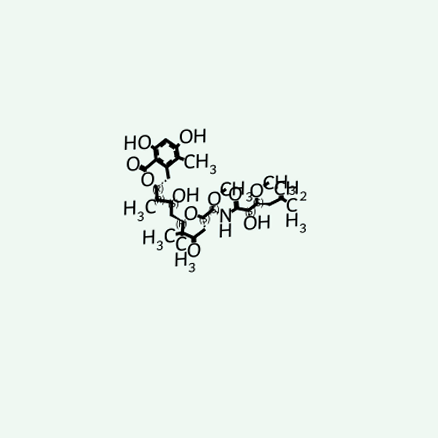 C=C(C)C[C@H](OC)[C@H](O)C(=O)N[C@@H](OC)[C@@H]1CC(=O)C(C)(C)[C@@H](C[C@H](O)[C@@H](C)[C@H]2Cc3c(C)c(O)cc(O)c3C(=O)O2)O1